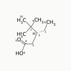 CC[C@H](CC(=O)O)C(C)(C)C